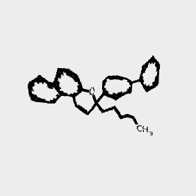 CCCCCC1(c2ccc(-c3ccccc3)cc2)C=Cc2c(ccc3ccccc23)O1